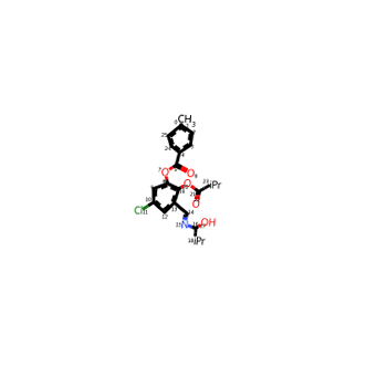 Cc1ccc(C(=O)Oc2cc(Cl)cc(/C=N/C(O)C(C)C)c2OC(=O)C(C)C)cc1